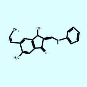 C/C=C\c1cc2c(cc1C)C(=O)/C(=C\Nc1ccccc1)C2O